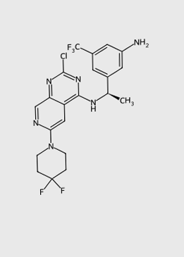 C[C@@H](Nc1nc(Cl)nc2cnc(N3CCC(F)(F)CC3)cc12)c1cc(N)cc(C(F)(F)F)c1